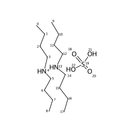 CCCCNCCCC.CCCCNCCCC.O=S(=O)(O)O